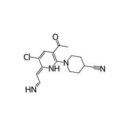 CC(=O)C1=C(N2CCC(C#N)CC2)N/C(=C\C=N)C(Cl)=C1